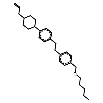 C=CCC1CCC(c2ccc(CCc3ccc(COCCCCC)cc3)cc2)CC1